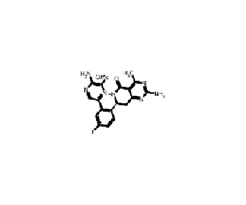 COc1nc(-c2cc(F)ccc2[C@@H]2Cc3nc(N)nc(C)c3C(=O)N2)cnc1N